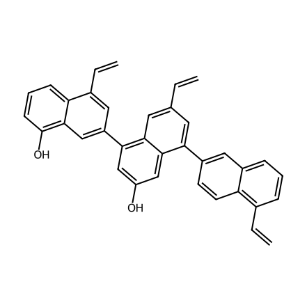 C=Cc1cc(-c2ccc3c(C=C)cccc3c2)c2cc(O)cc(-c3cc(C=C)c4cccc(O)c4c3)c2c1